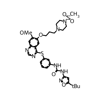 COc1cc2ncnc(Sc3cccc(NC(=O)Nc4cc(C(C)(C)C)on4)c3)c2cc1OCCCN1CCN(S(C)(=O)=O)CC1